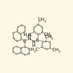 Cc1cc(C)c(B(NNB(c2cccc3ccccc23)c2cccc3ccccc23)c2c(C)cc(C)cc2C)c(C)c1